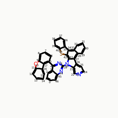 c1ccc2c(-c3cccc4oc5ccccc5c34)nc(-n3c4cnccc4c4c5ccccc5c5c6ccccc6sc5c43)nc2c1